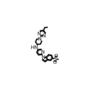 CCc1cnc(N2CCC(Nc3ccc(-n4ccc5cc(S(C)(=O)=O)ccc54)nc3)CC2)nc1